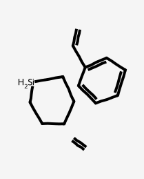 C1CC[SiH2]CC1.C=C.C=Cc1ccccc1